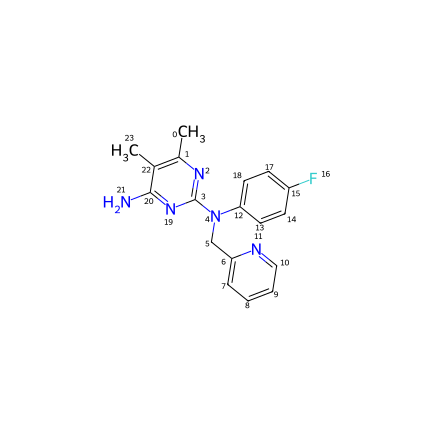 Cc1nc(N(Cc2ccccn2)c2ccc(F)cc2)nc(N)c1C